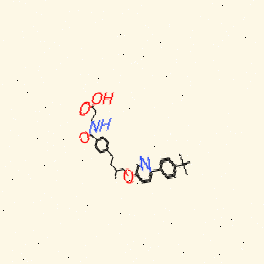 CC(CCc1ccc(C(=O)NCCC(=O)O)cc1)COc1ccc(-c2ccc(C(C)(C)C)cc2)nc1